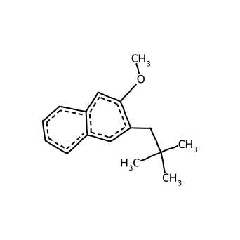 COc1cc2ccccc2cc1CC(C)(C)C